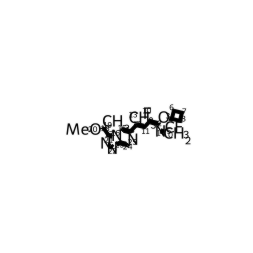 C=N/C(OC1(C(F)(F)F)CCC1)=C(F)\C=C(/C)c1cn2c([C@@H](C)OC)nnc2cn1